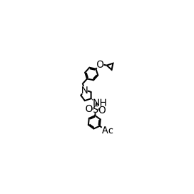 CC(=O)c1cccc(S(=O)(=O)N[C@@H]2CCN(Cc3ccc(OC4CC4)cc3)C2)c1